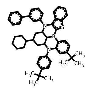 CC(C)(C)c1ccc(N2c3cc(C(C)(C)C)ccc3B3c4sc5ccccc5c4N(c4cccc(-c5ccccc5)c4)C4CC(C5CCCCC5)CC2C34)cc1